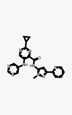 Cn1nc(-c2ccccn2)cc1NC(=O)c1nc(C2CC2)ncc1Nc1cncnc1